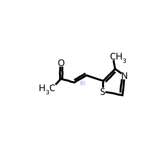 CC(=O)/C=C/c1scnc1C